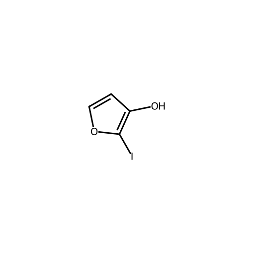 Oc1ccoc1I